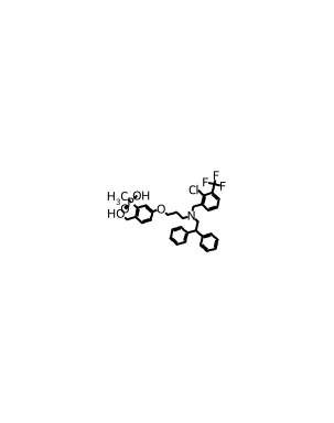 CP(=O)(O)c1cc(OCCCN(Cc2cccc(C(F)(F)F)c2Cl)CC(c2ccccc2)c2ccccc2)ccc1CO